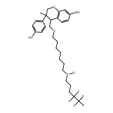 CC1(c2ccc(O)cc2)COc2cc(O)ccc2C1COCCCCCCC[S+]([O-])CCCC(F)(F)C(F)(F)F